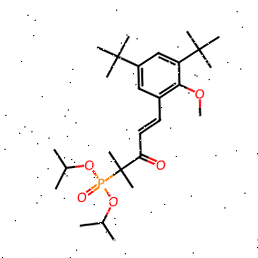 COc1c(C=CC(=O)C(C)(C)P(=O)(OC(C)C)OC(C)C)cc(C(C)(C)C)cc1C(C)(C)C